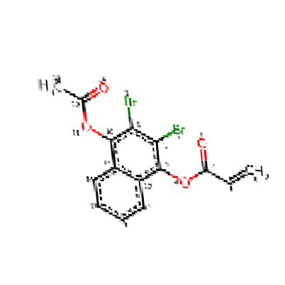 C=CC(=O)Oc1c(Br)c(Br)c(OC(C)=O)c2ccccc12